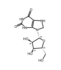 O=c1[nH]c2c(c(=O)[nH]1)NCN2[C@@H]1O[C@H](CO)[C@@H](O)[C@H]1O